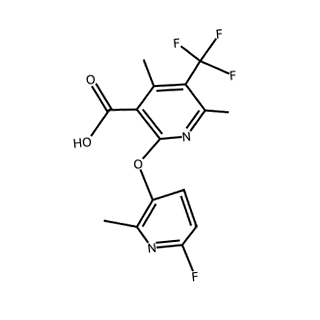 Cc1nc(F)ccc1Oc1nc(C)c(C(F)(F)F)c(C)c1C(=O)O